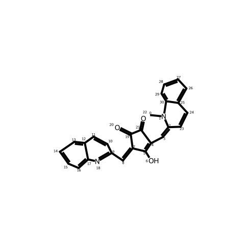 CN1/C(=C\C2=C(O)C(=C/c3ccc4ccccc4n3)/C(=O)C2=O)C=Cc2ccccc21